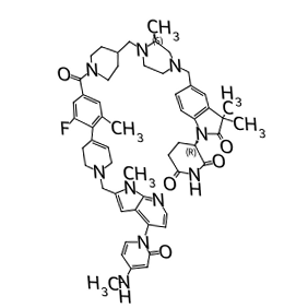 CNc1ccn(-c2ccnc3c2cc(CN2CC=C(c4c(C)cc(C(=O)N5CCC(CN6CCN(Cc7ccc8c(c7)C(C)(C)C(=O)N8[C@@H]7CCC(=O)NC7=O)C[C@@H]6C)CC5)cc4F)CC2)n3C)c(=O)c1